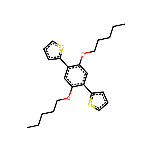 CCCCCOc1cc(-c2cccs2)c(OCCCCC)cc1-c1cccs1